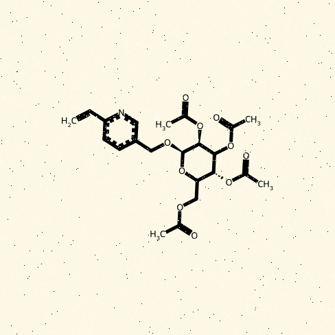 C=Cc1ccc(CO[C@@H]2OC(COC(C)=O)[C@@H](OC(C)=O)C(OC(C)=O)[C@@H]2OC(C)=O)cn1